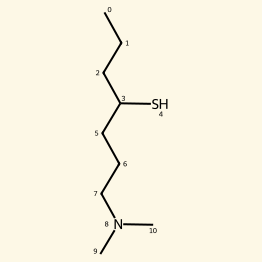 CCCC(S)CCCN(C)C